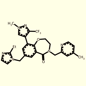 CCc1nccn1Cc1cc2c(c(-c3cn(C)nc3C(F)(F)F)c1)OCCN(Cc1cc(C)ccn1)C2=O